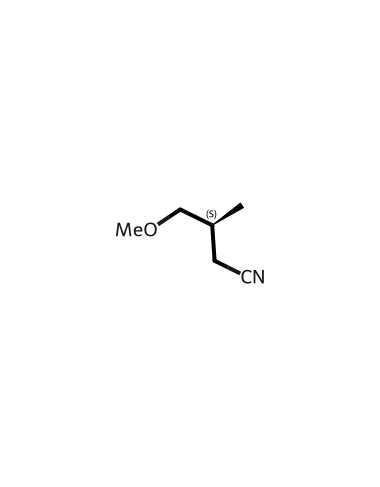 COC[C@@H](C)CC#N